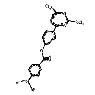 CCCN(CCC)c1ccc(C(=O)Oc2ccc(-c3nc(C(Cl)(Cl)Cl)nc(C(Cl)(Cl)Cl)n3)cc2)cc1